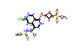 CC[C@H](N[S@@+]([O-])C(C)(C)C)c1cnc(OC2CC(S(C)(=O)=O)C2)c2cnc(Cl)cc12